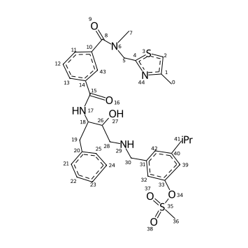 Cc1csc(CN(C)C(=O)c2cccc(C(=O)NC(Cc3ccccc3)C(O)CNCc3cc(OS(C)(=O)=O)cc(C(C)C)c3)c2)n1